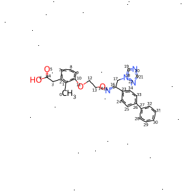 Cc1c(CC(=O)O)cccc1OCCO/N=C(\Cn1cncn1)c1ccc(-c2ccccc2)cc1